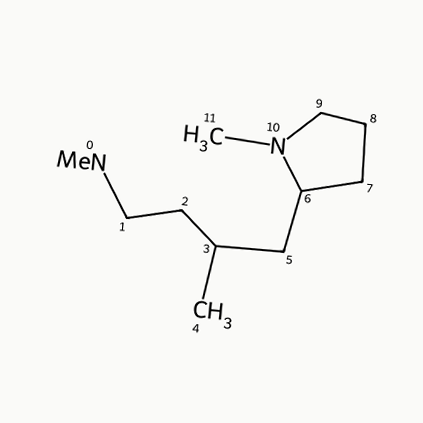 CNCCC(C)CC1CCCN1C